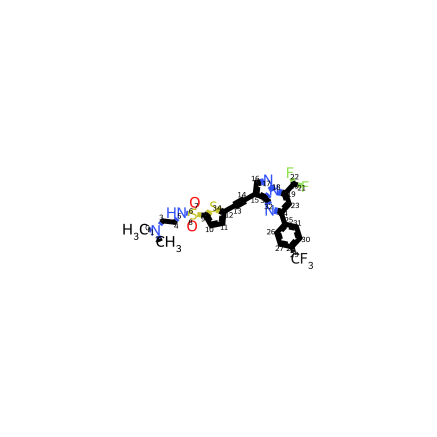 CN(C)CCNS(=O)(=O)c1ccc(C#Cc2cnn3c(C(F)F)cc(-c4ccc(C(F)(F)F)cc4)nc23)s1